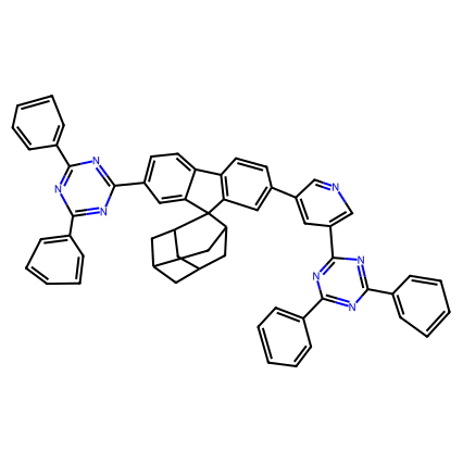 c1ccc(-c2nc(-c3ccccc3)nc(-c3cncc(-c4ccc5c(c4)C4(c6cc(-c7nc(-c8ccccc8)nc(-c8ccccc8)n7)ccc6-5)C5CC6CC(C5)CC4C6)c3)n2)cc1